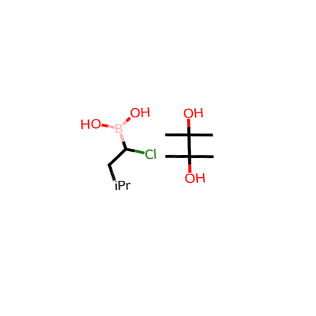 CC(C)(O)C(C)(C)O.CC(C)CC(Cl)B(O)O